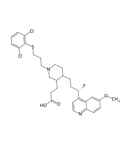 COc1ccc2nccc([C@@H](F)CCC3CCN(CCCSc4c(Cl)cccc4Cl)CC3CCC(=O)O)c2c1